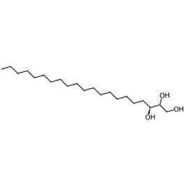 CCCCCCCCCCCCCCCCCC[C@H](O)C(O)CO